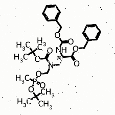 CC(C)(C)OC(=O)N(COP(C)(=O)OC(C)(C)C)C[C@H](NC(=O)OCc1ccccc1)C(=O)OCc1ccccc1